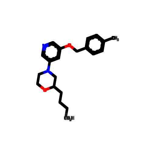 Cc1ccc(COc2cncc(N3CCOC(CCCC(=O)O)C3)c2)cc1